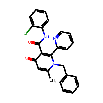 Cc1cc(=O)c(C(=O)Nc2ccccc2Cl)c(-c2ccccn2)n1Cc1ccccc1